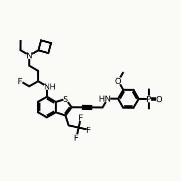 CCN(CCC(CF)Nc1cccc2c(CC(F)(F)F)c(C#CCNc3ccc(P(C)(C)=O)cc3OC)sc12)C1CCC1